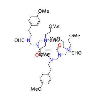 COCC[N+](C=O)(CCOC)CN(CN(C=O)CCc1ccc(OC)cc1)C(=O)C#CC(=O)N(CN(C=O)CCc1ccc(OC)cc1)C[N+](C=O)(CCOC)CCOC